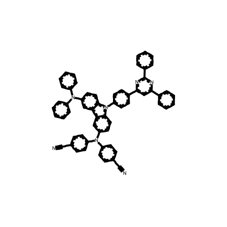 N#Cc1ccc(N(c2ccc(C#N)cc2)c2ccc3c(c2)c2cc(N(c4ccccc4)c4ccccc4)ccc2n3-c2ccc(-c3cc(-c4ccccc4)nc(-c4ccccc4)n3)cc2)cc1